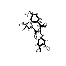 CC(C)(O)Cn1c(=O)n(Cc2ccc(Cl)c(Cl)c2)c(=O)c2ccc(C(F)(F)F)cc21